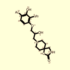 CCCc1c(OCC(O)CN2CCC3(CC2)CNC(=O)O3)ccc(C(C)=O)c1O